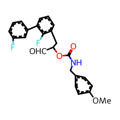 COc1ccc(CNC(=O)OC(C=O)Cc2cccc(-c3cccc(F)c3)c2F)cc1